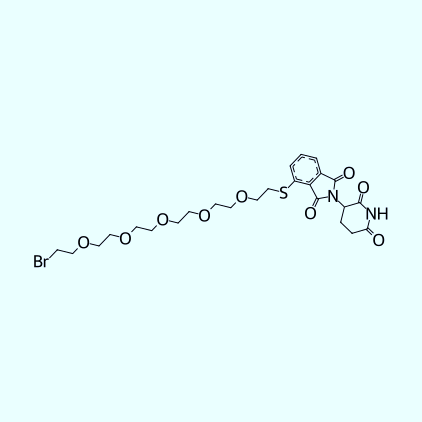 O=C1CCC(N2C(=O)c3cccc(SCCOCCOCCOCCOCCOCCBr)c3C2=O)C(=O)N1